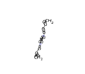 C=CC(=O)OCCCCOc1ccc(/C=C/C(=O)Oc2ccc(SC(=O)/C=C/c3ccc(OCCCCOC(=O)C=C)cc3)nc2)cc1